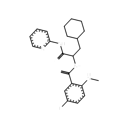 CNc1ccc(F)cc1C(=O)NC(CC1CCCCC1)C(=O)Nc1ccccn1